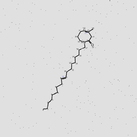 CCCCCCCC/C=C/CCCCCCCCN1CCC/N=C(/C)CC1=O